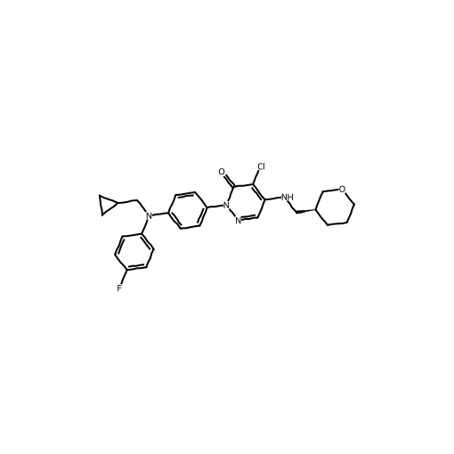 O=c1c(Cl)c(NC[C@@H]2CCCOC2)cnn1-c1ccc(N(CC2CC2)c2ccc(F)cc2)cc1